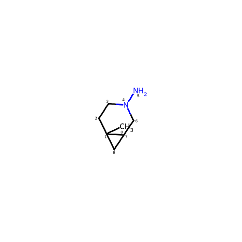 CC12CCN(N)CC1C2